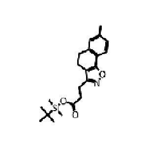 Cc1ccc2c(c1)CCc1c(CCC(=O)O[Si](C)(C)C(C)(C)C)noc1-2